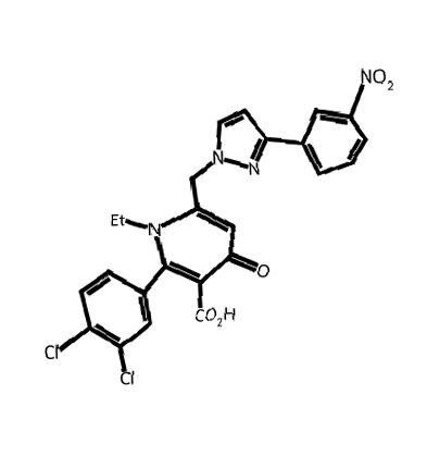 CCn1c(Cn2ccc(-c3cccc([N+](=O)[O-])c3)n2)cc(=O)c(C(=O)O)c1-c1ccc(Cl)c(Cl)c1